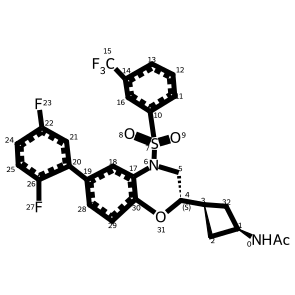 CC(=O)N[C@H]1C[C@@H]([C@H]2CN(S(=O)(=O)c3cccc(C(F)(F)F)c3)c3cc(-c4cc(F)ccc4F)ccc3O2)C1